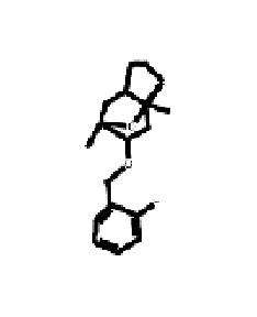 CC12CC3CCC(O1)C3(C)CC2OCc1ccccc1F